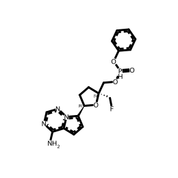 Nc1ncnn2c([C@H]3CC[C@@](CF)(CO[PH](=O)Oc4ccccc4)O3)ccc12